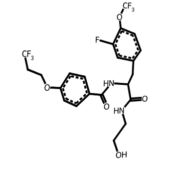 O=C(NC(Cc1ccc(OC(F)(F)F)c(F)c1)C(=O)NCCO)c1ccc(OCCC(F)(F)F)cc1